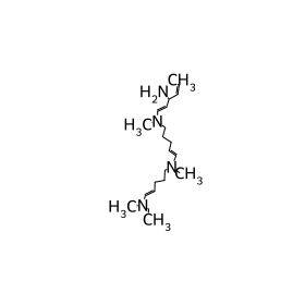 C/C=C\C(N)/C=C/N(C)CCC/C=C/N(C)CCC/C=C/N(C)CC